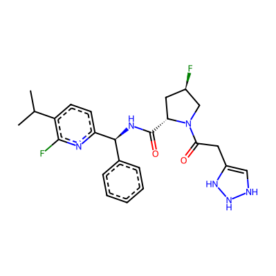 CC(C)c1ccc([C@@H](NC(=O)[C@@H]2C[C@@H](F)CN2C(=O)CC2=CNNN2)c2ccccc2)nc1F